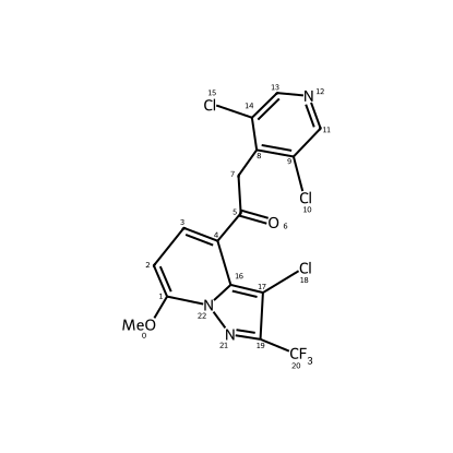 COc1ccc(C(=O)Cc2c(Cl)cncc2Cl)c2c(Cl)c(C(F)(F)F)nn12